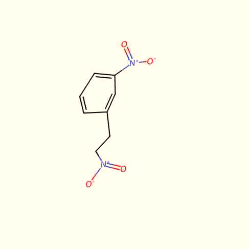 O=[N+]([O-])CCc1cccc([N+](=O)[O-])c1